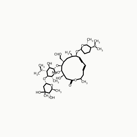 CO[C@@H]1[C@@H](O[C@@H]2O[C@H](C)[C@@H](O[C@H]3C[C@@](C)(O)[C@@H](O)[C@H](C)O3)[C@H](N(C)C)[C@H]2O)[C@@H](CC=O)C[C@@H](C)[C@@H](O[C@@H]2CC[C@H](N(C)C)[C@@H](C)O2)/C=C/C=C/C[C@@H](C)OC(=O)C[C@H]1O